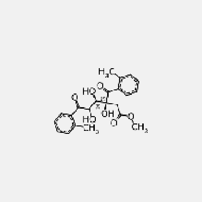 COC(=O)C[C@@](O)(C(=O)c1ccccc1C)[C@H](O)C(O)C(=O)c1ccccc1C